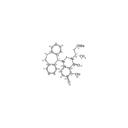 COC[C@H](C)N1CN(C2c3ccccc3CSc3ccccc32)n2ccc(=O)c(O)c2C1=O